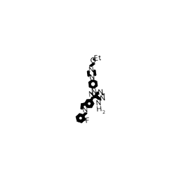 CCOCCN1CCN(C2CCC(n3nc(-c4ccc5c(ccn5Cc5ccccc5F)c4)c4c(N)ncnc43)CC2)CC1